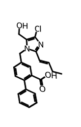 CCC=Cc1nc(Cl)c(CO)n1Cc1ccc(-c2ccccc2)c(C(=O)O)c1